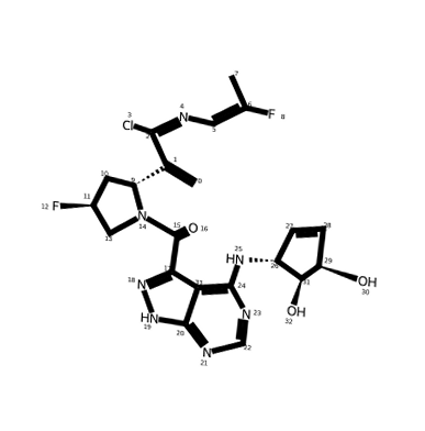 C=C(/C(Cl)=N\C=C(/C)F)[C@H]1C[C@H](F)CN1C(=O)c1n[nH]c2ncnc(N[C@@H]3C=C[C@@H](O)[C@H]3O)c12